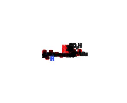 CC(C)(C)C(=O)OCc1ccc(CCCOCCOCCOCCNC(=O)CCN2C(=O)C=CC2=O)cc1O[C@@H]1C[C@H](C(=O)O)[C@@H](O)[C@H](O)[C@H]1O